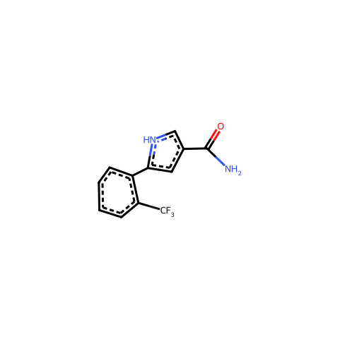 NC(=O)c1c[nH]c(-c2ccccc2C(F)(F)F)c1